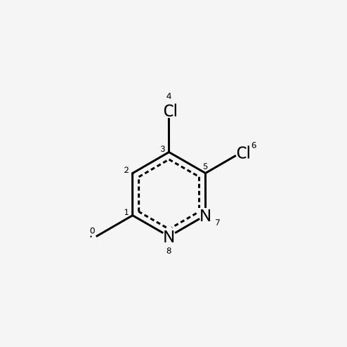 [CH2]c1cc(Cl)c(Cl)nn1